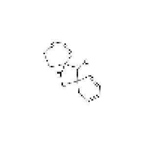 [O-][S+](C1(Cl)C=CC=CC1)C1(Cl)C=CC=CC1